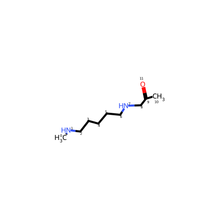 CNCCCCCNCC(C)=O